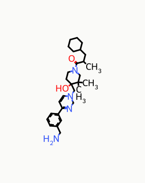 CC(CC1CCCCC1)C(=O)N1CCC(O)(CN2C=CC(c3cccc(CN)c3)=NC2)C(C)(C)C1